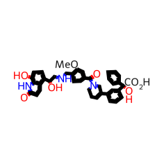 COc1cc(C(=O)N2CCC=C(c3cccc(C(O)(C(=O)O)c4ccccc4)c3)C2)ccc1CNCC(O)c1ccc(O)c2[nH]c(=O)ccc12